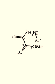 C=C(C)C(=O)OC.[NH3+][O-]